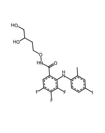 Cc1cc(I)ccc1Nc1c(C(=O)NOCCC(O)CO)cc(F)c(F)c1F